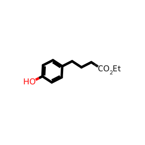 CCOC(=O)CCCc1ccc(O)cc1